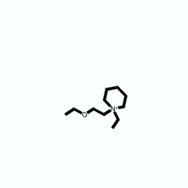 CCOCC[N+]1(CC)CCCCC1